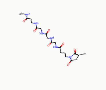 CCCNC(=O)CCNC(=O)CNC(=O)CNC(=O)CNC(=O)CCCN1C(=O)CC(C(C)C)C1=O